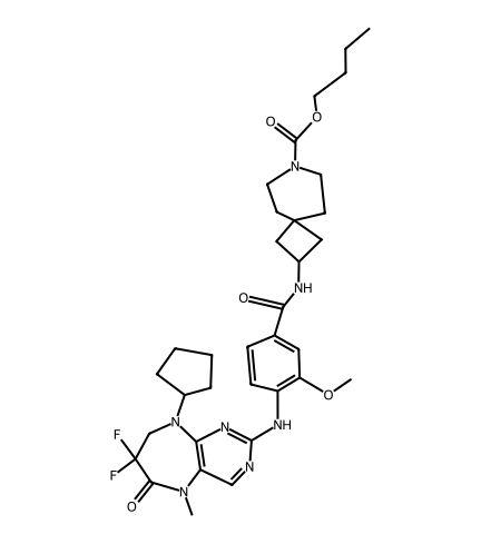 CCCCOC(=O)N1CCC2(CC1)CC(NC(=O)c1ccc(Nc3ncc4c(n3)N(C3CCCC3)CC(F)(F)C(=O)N4C)c(OC)c1)C2